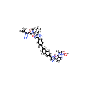 COC(=O)NN(C(=O)C1CCCCC1c1ncc(-c2ccc3cc(-c4ccc(-c5cnc([C@@H]6CCCCC6C(=O)N(CC(=O)NC6CC6)C(C)C)[nH]5)cc4)ccc3c2)[nH]1)C(C)C